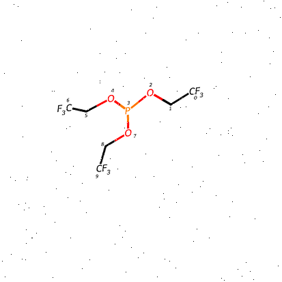 FC(F)(F)COP(OCC(F)(F)F)OCC(F)(F)F